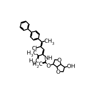 C=C(N/C(=C/C(Cl)=C(\C)c1ccc(-c2ccccc2)cc1)C(=C)C)OC1COC2C(O)COC12